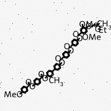 CCOC(C)CCOc1cc(OC)c(C(=O)Oc2ccc(C(=O)Oc3ccc(C(=O)Oc4ccc(-c5ccc(OC(=O)c6ccc(OC(=O)c7ccc(OC)cc7)cc6)c(C)c5)cc4)cc3)cc2)cc1OC